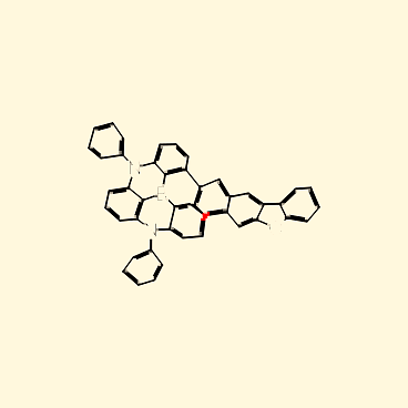 c1ccc(N2c3ccccc3B3c4c(-c5ccc6cc7oc8ccccc8c7cc6c5)cccc4N(c4ccccc4)c4cccc2c43)cc1